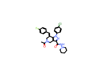 CC(=O)N1CC(=Cc2ccc(F)cc2)c2c(c(C(=O)NN3CCCCC3)nn2-c2ccc(Cl)cc2)C1